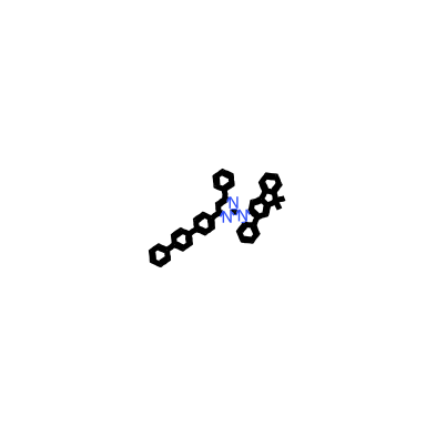 CC1(C)c2ccccc2-c2cc3c(cc21)c1ccccc1n3-c1nc(-c2ccccc2)cc(-c2ccc(-c3ccc(-c4ccccc4)cc3)cc2)n1